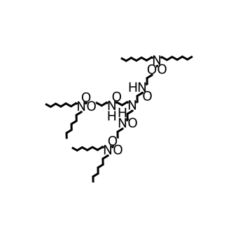 CCCCCCCN(CCCCCCC)C(=O)OCCCNC(=O)CCN(CCC(=O)NCCCOC(=O)N(CCCCCCC)CCCCCCC)CCC(=O)NCCCOC(=O)N(CCCCCCC)CCCCCCC